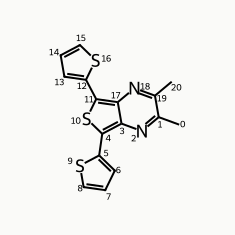 Cc1nc2c(-c3cccs3)sc(-c3cccs3)c2nc1C